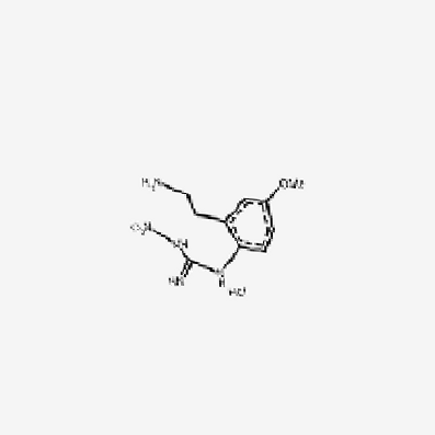 COc1ccc(NC(=N)N[N+](=O)[O-])c(CCN)c1.Cl